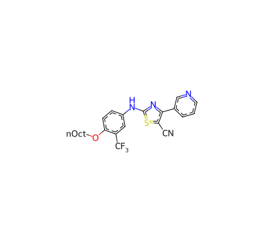 CCCCCCCCOc1ccc(Nc2nc(-c3cccnc3)c(C#N)s2)cc1C(F)(F)F